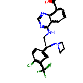 NC(=O)c1cccc2c(NC[C@H](c3ccc(Cl)c(C(F)(F)F)c3)N3CCC3)ncnc12